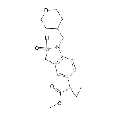 COC(=O)C1(c2ccc3c(c2)CS(=O)(=O)N3CC2CCOCC2)CC1